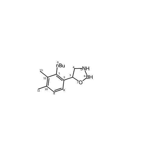 CCCCc1c(C2CNBO2)ccc(C)c1C